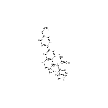 CCc1ccc(-c2ccc3c(c2)CCC2(CC2)[C@@H]3N(C(=O)O)C2CN3CCC2CC3)cc1